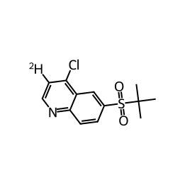 [2H]c1cnc2ccc(S(=O)(=O)C(C)(C)C)cc2c1Cl